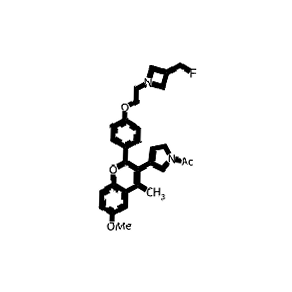 COc1ccc2c(c1)C(C)=C(C1=CCN(C(C)=O)C1)C(c1ccc(OCCN3CC(CF)C3)cc1)O2